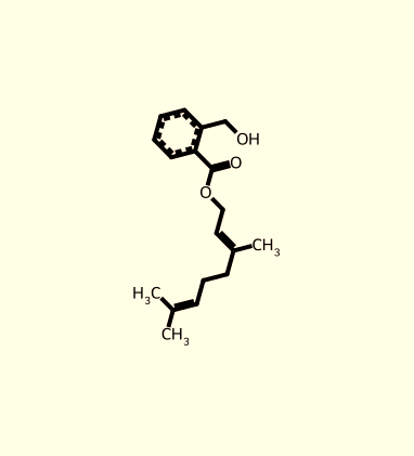 CC(C)=CCC/C(C)=C/COC(=O)c1ccccc1CO